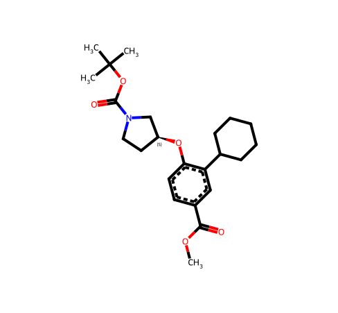 COC(=O)c1ccc(O[C@H]2CCN(C(=O)OC(C)(C)C)C2)c(C2CCCCC2)c1